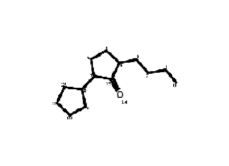 CCCCC1CCC(C2CCCC2)C1=O